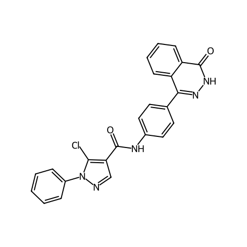 O=C(Nc1ccc(-c2n[nH]c(=O)c3ccccc23)cc1)c1cnn(-c2ccccc2)c1Cl